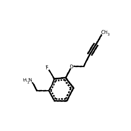 CC#CCOc1cccc(CN)c1F